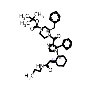 CCCNC(=O)/C=C1\CCCC[C@@H]1n1cnc(C(=O)N2CCN(C(=O)OC(C)(C)C)C[C@H]2Cc2ccccc2)c1-c1ccccc1